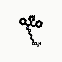 O=C(O)CCCCO/N=C(/c1ccccc1)C(Cc1ccccc1)n1ccnc1